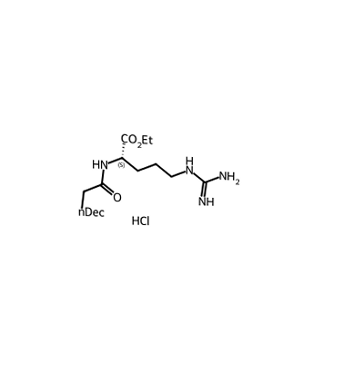 CCCCCCCCCCCC(=O)N[C@@H](CCCNC(=N)N)C(=O)OCC.Cl